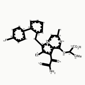 CCc1c(C(=O)C(N)=O)c2c(OC(OC)C(=O)O)nc(C)cn2c1Cc1ccccc1-c1ccc(F)cc1